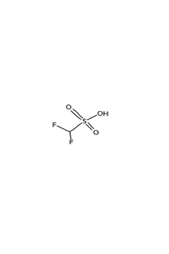 O=S(=O)(O)C(F)F